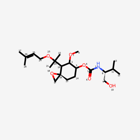 COC1C(OC(=O)N[C@@H](CO)C(C)C)CC[C@]2(CO2)C1C(C)(C)OCC=C(C)C